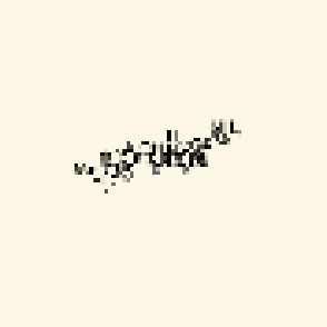 CNC(=O)c1c(C)oc2cc(Oc3ccnc(Nc4cccc(S(=O)(=O)NCC(N)=O)c4)n3)ccc12